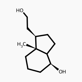 C[C@]12CCC[C@H](O)C1CC[C@@H]2CCO